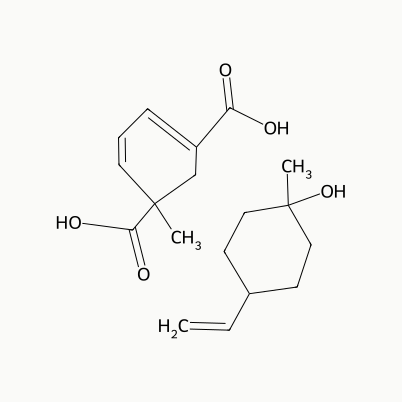 C=CC1CCC(C)(O)CC1.CC1(C(=O)O)C=CC=C(C(=O)O)C1